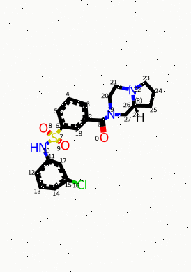 O=C(c1cccc(S(=O)(=O)Nc2cccc(Cl)c2)c1)N1CCN2CCC[C@@H]2C1